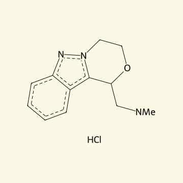 CNCC1OCCn2nc3ccccc3c21.Cl